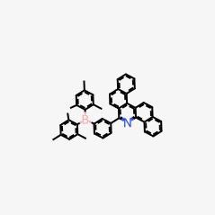 Cc1cc(C)c(B(c2cccc(-c3nc4c5ccccc5ccc4c4c3ccc3ccccc34)c2)c2c(C)cc(C)cc2C)c(C)c1